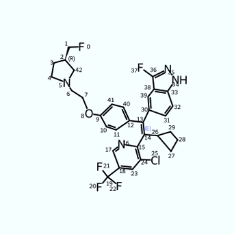 FC[C@@H]1CCN(CCOc2ccc(/C(=C(\c3ncc(C(F)(F)F)cc3Cl)C3CCC3)c3ccc4[nH]nc(F)c4c3)cc2)C1